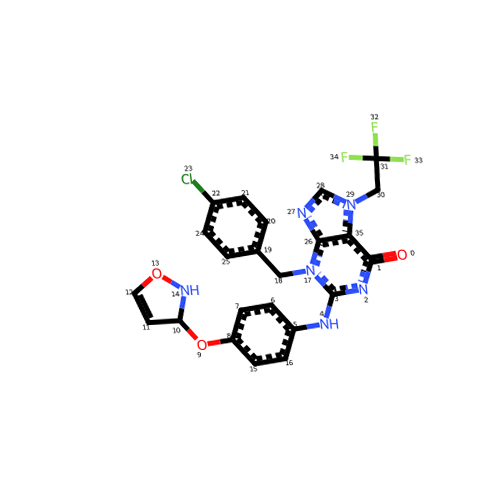 O=c1nc(Nc2ccc(OC3C=CON3)cc2)n(Cc2ccc(Cl)cc2)c2ncn(CC(F)(F)F)c12